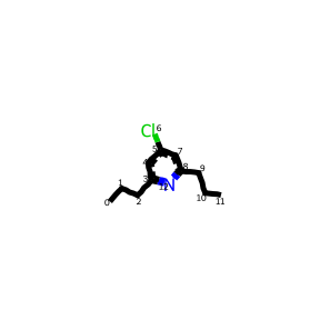 CCCc1cc(Cl)cc(CCC)n1